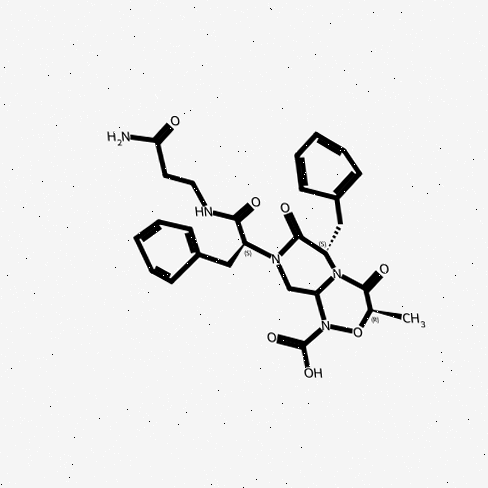 C[C@H]1ON(C(=O)O)C2CN([C@@H](Cc3ccccc3)C(=O)NCCC(N)=O)C(=O)[C@H](Cc3ccccc3)N2C1=O